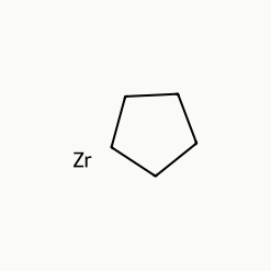 C1CCCC1.[Zr]